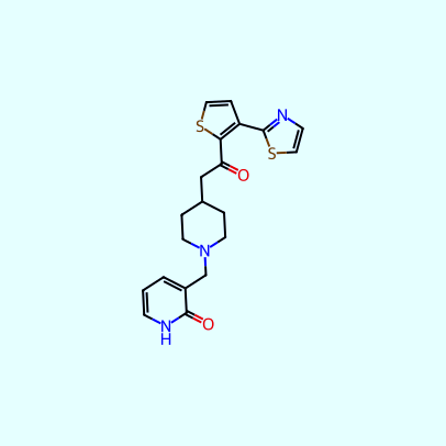 O=C(CC1CCN(Cc2ccc[nH]c2=O)CC1)c1sccc1-c1nccs1